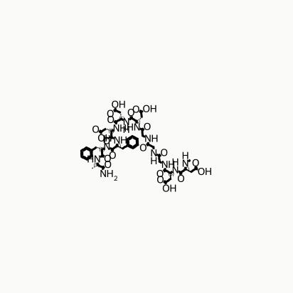 CN[C@@H](CC(=O)O)C(=O)N[C@@H](CC(=O)O)C(=O)NCC(=O)NCC(=O)NCC(=O)N[C@@H](CC(=O)O)C(=O)N[C@@H](CC(=O)O)C(=O)N[C@@H](CC(=O)O)C(=O)N[C@@H](Cc1ccccc1)C(=O)N[C@@H](Cc1ccccc1)C(=O)N[C@@H](C)C(N)=O